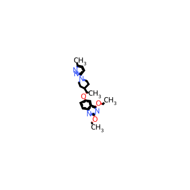 CCOc1nc(OCC)c2cc(OC(C)C3CCN(c4ccc(C)nn4)CC3)ccc2n1